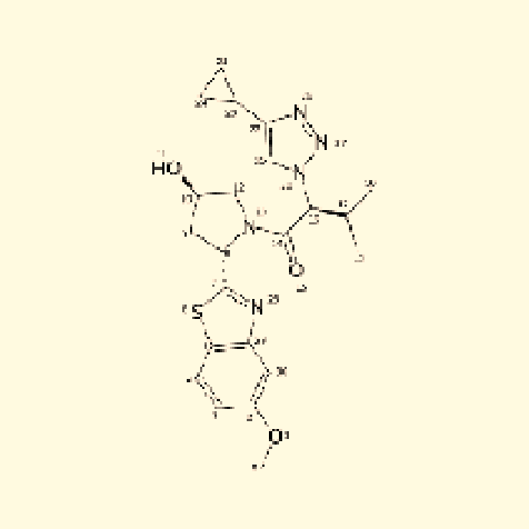 COc1ccc2sc([C@@H]3C[C@@H](O)CN3C(=O)[C@H](C(C)C)n3cc(C4CC4)nn3)nc2c1